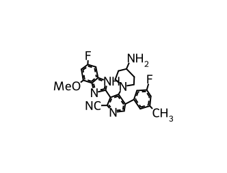 COc1cc(F)cc2[nH]c(-c3c(C#N)ncc(-c4cc(C)cc(F)c4)c3N3CCC(N)CC3)nc12